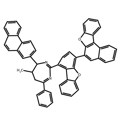 CC1CC(c2ccccc2)=NC(c2ccc(-c3cc4ccccc4c4c3oc3ccccc34)c3oc4ccccc4c23)=NC1c1ccc2c(ccc3ccccc32)c1